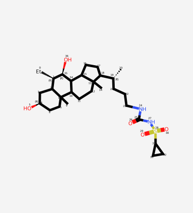 CC[C@@H]1C2C[C@H](O)CCC2(C)C2CCC3(C)C(CCC3[C@H](C)CCCNC(=O)NS(=O)(=O)C3CC3)C2[C@@H]1O